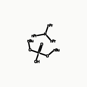 CCCCOP(=O)(O)OCCCC.CCCN(CCC)CCC